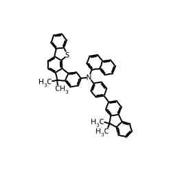 CC1(C)c2ccccc2-c2ccc(-c3ccc(N(c4ccc5c(c4)-c4c(ccc6c4sc4ccccc46)C5(C)C)c4cccc5ccccc45)cc3)cc21